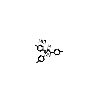 Cc1ccc(C2=NN(c3ccc(C)cc3)N(c3ccc(C)cc3)N2)cc1.Cl